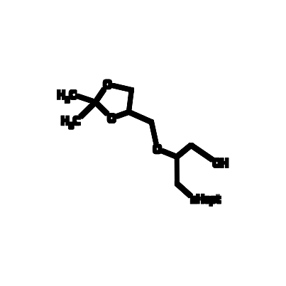 CCCCCCCCC(CO)OCC1COC(C)(C)O1